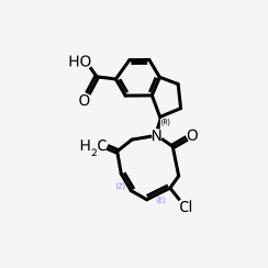 C=C1/C=C\C=C(\Cl)CC(=O)N([C@@H]2CCc3ccc(C(=O)O)cc32)C1